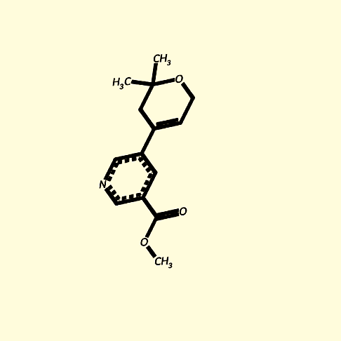 COC(=O)c1cncc(C2=CCOC(C)(C)C2)c1